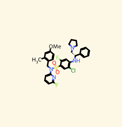 COc1ccc(CN(c2cccc(F)n2)S(=O)(=O)c2cc(Cl)c(N[C@H](CN3CCCC3)c3ccccc3)cc2F)c(C)c1